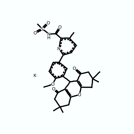 COc1ccc(-c2ccc(C)c(C(=O)NS(C)(=O)=O)n2)cc1C1C2=C(CC(C)(C)CC2=O)OC2=C1C(=O)CC(C)(C)C2.[K]